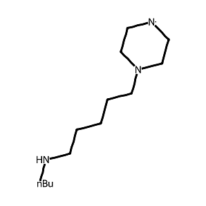 CCCCNCCCCCN1CC[N]CC1